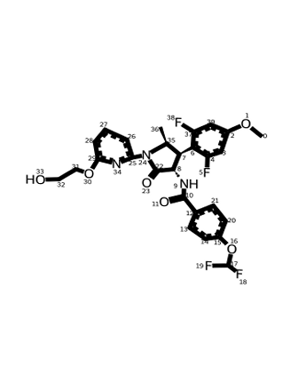 COc1cc(F)c([C@H]2[C@H](NC(=O)c3ccc(OC(F)F)cc3)C(=O)N(c3cccc(OCCO)n3)[C@H]2C)c(F)c1